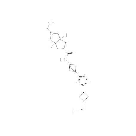 O=C(NC12CC(c3nnc([C@H]4C[C@@H](OC(F)(F)F)C4)o3)(C1)C2)[C@H]1C[C@@H]2CN(CC(F)(F)F)C[C@@H]2C1